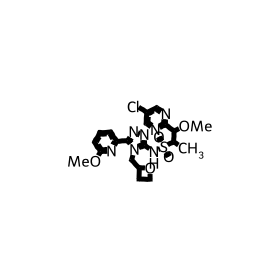 COc1cccc(-c2nnc(NS(=O)(=O)C(C)C(OC)c3ncc(Cl)cn3)n2CC2CCO2)n1